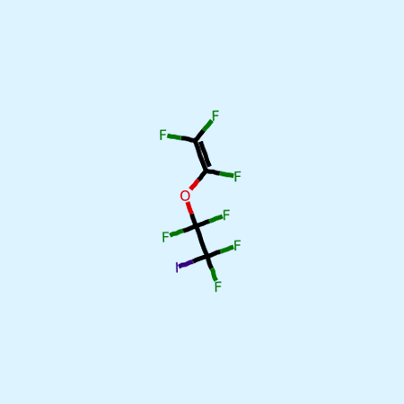 FC(F)=C(F)OC(F)(F)C(F)(F)I